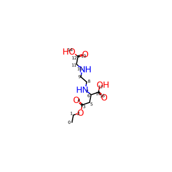 CCOC(=O)CC(NCCNCC(=O)O)C(=O)O